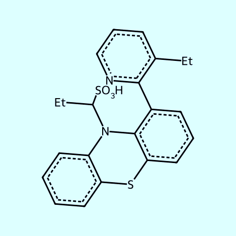 CCc1cccnc1-c1cccc2c1N(C(CC)S(=O)(=O)O)c1ccccc1S2